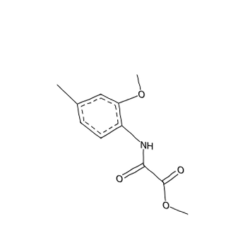 COC(=O)C(=O)Nc1ccc(C)cc1OC